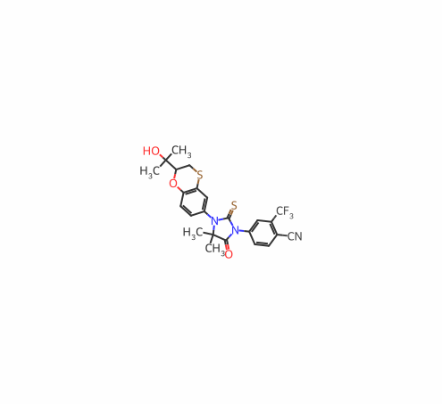 CC(C)(O)C1CSc2cc(N3C(=S)N(c4ccc(C#N)c(C(F)(F)F)c4)C(=O)C3(C)C)ccc2O1